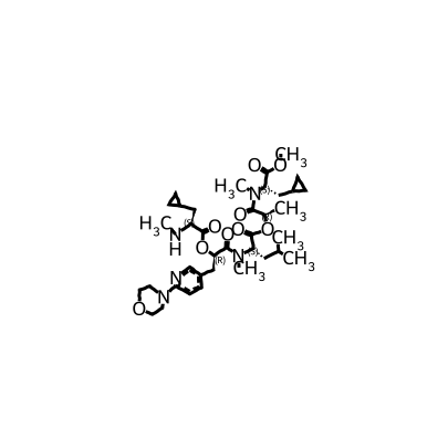 CN[C@@H](CC1CC1)C(=O)O[C@H](Cc1ccc(N2CCOCC2)nc1)C(=O)N(C)[C@@H](CC(C)C)C(=O)O[C@H](C)C(=O)N(C)[C@@H](CC1CC1)C(=O)OC